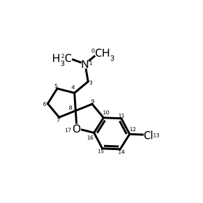 CN(C)CC1CCCC12Cc1cc(Cl)ccc1O2